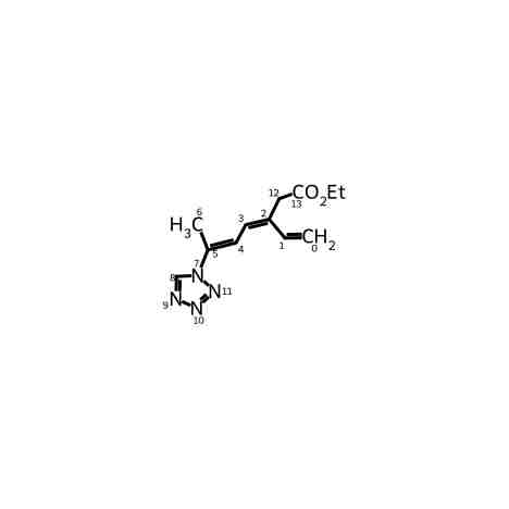 C=C/C(=C\C=C(/C)n1cnnn1)CC(=O)OCC